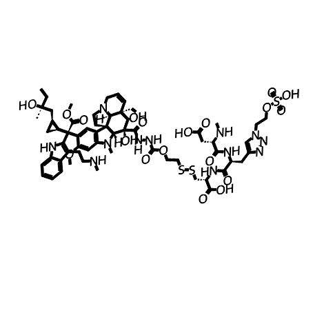 CC[C@](C)(O)C[C@@H]1C[C@@H]1[C@](C(=O)OC)(c1cc2c(cc1OC)N(C)[C@H]1[C@@](O)(C(=O)NNC(=O)OCCSSC[C@H](NC(=O)[C@H](Cc3cn(CCOS(=O)(=O)O)nn3)NC(=O)[C@H](CC(=O)O)NC)C(=O)O)[C@H](O)[C@]3(CC)C=CCN4CC[C@]21[C@@H]43)c1[nH]c2ccccc2c1CCNC